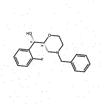 O[C@@H](c1ccccc1F)[C@H]1CN(Cc2ccccc2)CCO1